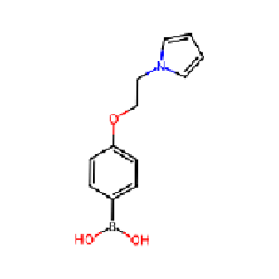 OB(O)c1ccc(OCCn2cccc2)cc1